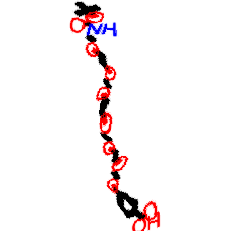 CC(C)(C)OC(=O)NCCOCCOCCOCCOCCOCCOCCOc1ccc(C(=O)O)cc1